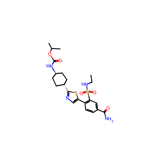 CCNS(=O)(=O)c1cc(C(N)=O)ccc1-c1cnc([C@H]2CC[C@H](NC(=O)OC(C)C)CC2)s1